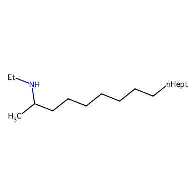 CCCCCCCCCCCCCCC(C)NCC